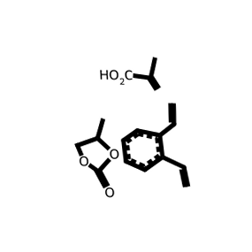 C=C(C)C(=O)O.C=Cc1ccccc1C=C.CC1COC(=O)O1